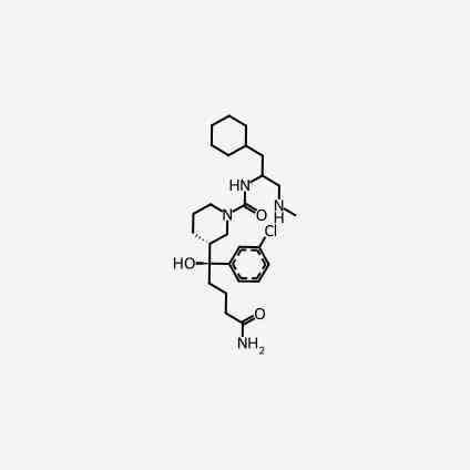 CNCC(CC1CCCCC1)NC(=O)N1CCC[C@@H]([C@@](O)(CCCC(N)=O)c2cccc(Cl)c2)C1